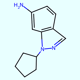 Nc1ccc2cnn(C3CCCC3)c2c1